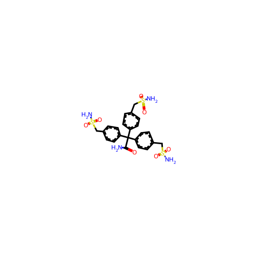 NC(=O)C(c1ccc(CS(N)(=O)=O)cc1)(c1ccc(CS(N)(=O)=O)cc1)c1ccc(CS(N)(=O)=O)cc1